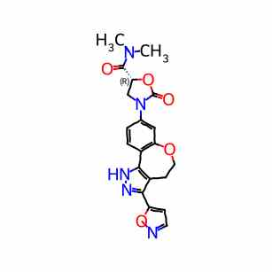 CN(C)C(=O)[C@H]1CN(c2ccc3c(c2)OCCc2c(-c4ccno4)n[nH]c2-3)C(=O)O1